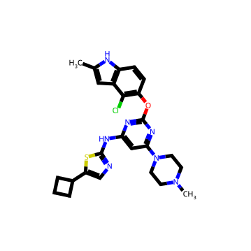 Cc1cc2c(Cl)c(Oc3nc(Nc4ncc(C5CCC5)s4)cc(N4CCN(C)CC4)n3)ccc2[nH]1